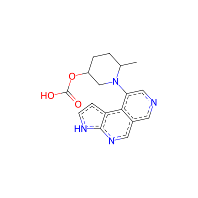 CC1CCC(OC(=O)O)CN1c1cncc2cnc3[nH]ccc3c12